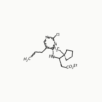 C=CCc1cnc(Cl)nc1NC(CC(=O)OCC)C1(C)CCCC1